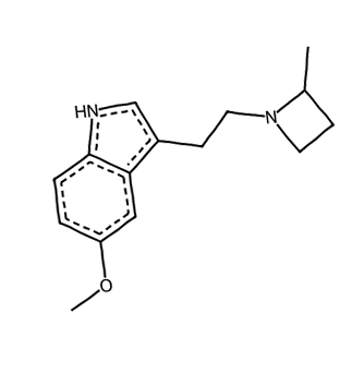 COc1ccc2[nH]cc(CCN3CCC3C)c2c1